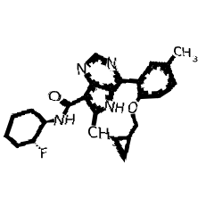 Cc1ccc(OCC2CC2)c(-c2ncnc3c(C(=O)N[C@@H]4CCCC[C@H]4F)c(C)[nH]c23)c1